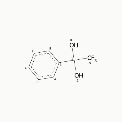 OC(O)(c1ccccc1)C(F)(F)F